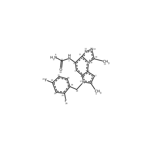 Cc1cc2c(cc(NC(N)=O)c3nnc(C)n32)n1Cc1ccc(F)cc1F